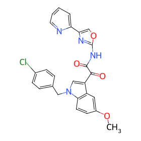 COc1ccc2c(c1)c(C(=O)C(=O)Nc1nc(-c3ccccn3)co1)cn2Cc1ccc(Cl)cc1